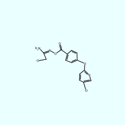 N/C(CCl)=N/OC(=O)c1ccc(Oc2ccc(Cl)cn2)cc1